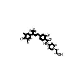 Cc1cc(C(/C=C/c2ccc(C(=O)NC3CCN(CCO)CC3)c(Br)c2)C(F)(F)F)cc(C)c1Cl